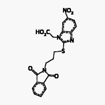 O=C(O)Cn1c(SCCCN2C(=O)c3ccccc3C2=O)nc2ccc([N+](=O)[O-])cc21